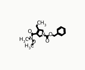 CCC1=C(C(=O)N(C)OC)CN(C(=O)OCc2ccccc2)C1